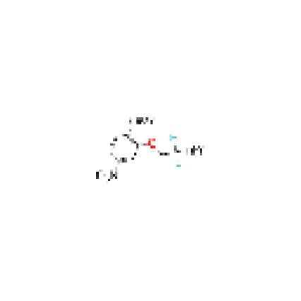 CCCC(F)(F)COc1cc([N+](=O)[O-])ccc1OC